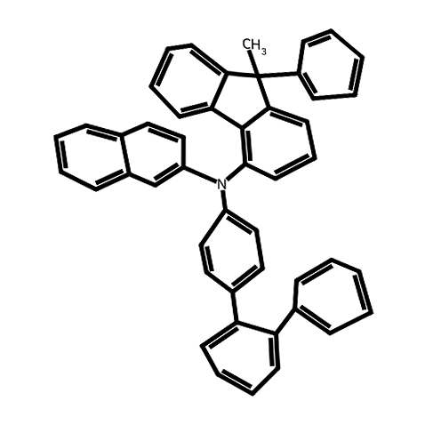 CC1(c2ccccc2)c2ccccc2-c2c(N(c3ccc(-c4ccccc4-c4ccccc4)cc3)c3ccc4ccccc4c3)cccc21